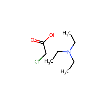 CCN(CC)CC.O=C(O)CCl